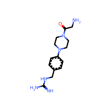 N=C(N)NCc1ccc(N2CCN(C(=O)CN)CC2)cc1